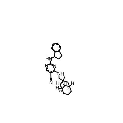 CC1(CNc2nc(NC3CCc4ccccc43)ncc2C#N)C[C@H]2CCC[C@@H](C1)[C@@H]2N